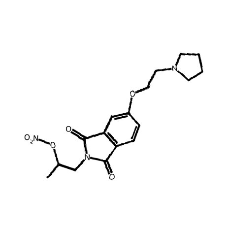 CC(CN1C(=O)c2ccc(OCCN3CCCC3)cc2C1=O)O[N+](=O)[O-]